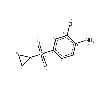 Nc1ccc(S(=O)(=O)C2CC2)cc1Cl